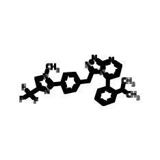 CC(C)c1ccccc1-c1ccnc2nnc(Cc3ccc(-c4nc(C(F)(F)F)cn4C)cc3)n12